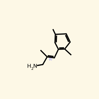 C/C(=C\c1cc(C)ccc1C)CN